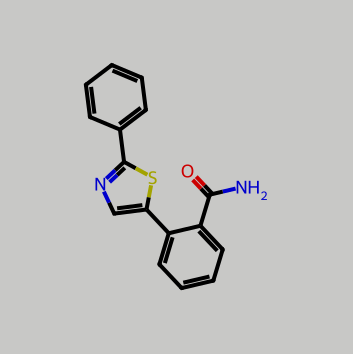 NC(=O)c1ccccc1-c1cnc(-c2ccccc2)s1